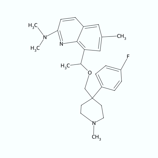 Cc1cc(C(C)OCC2(c3ccc(F)cc3)CCN(C)CC2)c2nc(N(C)C)ccc2c1